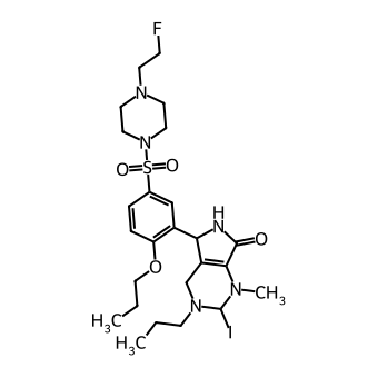 CCCOc1ccc(S(=O)(=O)N2CCN(CCF)CC2)cc1C1NC(=O)C2=C1CN(CCC)C(I)N2C